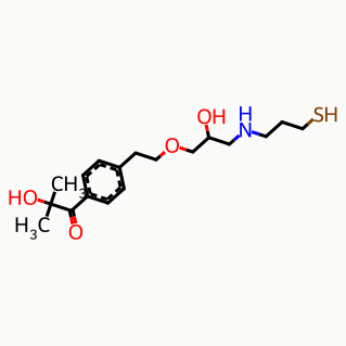 CC(C)(O)C(=O)c1ccc(CCOCC(O)CNCCCS)cc1